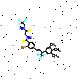 Cc1cc(C(/C=C/c2ccc(C(=S)NCC(=S)NCC(F)(F)F)c(Br)c2)C(F)(F)F)cc(C)c1C